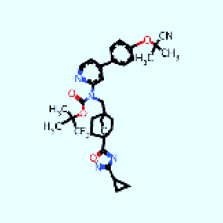 CC(C)(C#N)Oc1ccc(-c2ccnc(N(CC34CCC(c5nc(C6CC6)no5)(CC3)CC4)C(=O)OC(C)(C)C(F)(F)F)c2)cc1